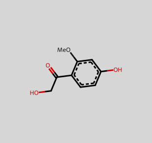 COc1cc(O)ccc1C(=O)CO